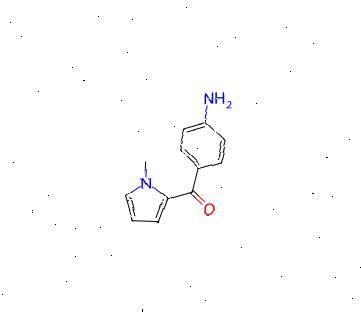 Cn1cccc1C(=O)c1ccc(N)cc1